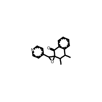 CC1c2ccccc2C(=O)C2(OC2c2ccncc2)C1C